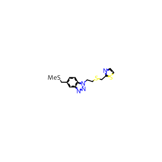 CSCc1ccc2c(c1)nnn2CCSCc1nccs1